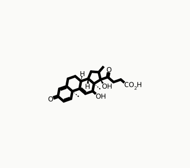 CC1C[C@H]2[C@@H]3CCC4=CC(=O)C=C[C@]4(C)C3=CC(O)[C@]2(C)[C@@]1(O)C(=O)CCC(=O)O